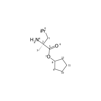 CC(C)C[C@](C)(N)C(=O)OC1CCCC1